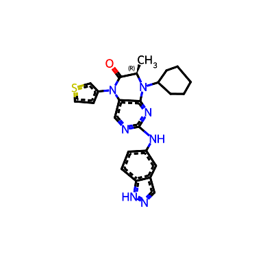 C[C@@H]1C(=O)N(c2ccsc2)c2cnc(Nc3ccc4[nH]ncc4c3)nc2N1C1CCCCC1